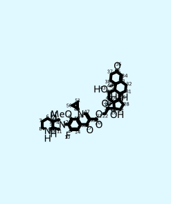 COc1c(N2C[C@@H]3CCCN[C@@H]3C2)c(F)cc2c(=O)c(C(=O)OCC(=O)[C@]3(O)CC[C@@H]4[C@H]5CCC6=CC(=O)CC[C@@]6(C)C5[C@H](O)C[C@]43C)cn(C3CC3)c12